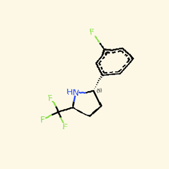 Fc1cccc([C@@H]2CCC(C(F)(F)F)N2)c1